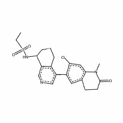 CCS(=O)(=O)NC1CCCc2c(-c3cc4c(cc3Cl)N(C)C(=O)CC4)cncc21